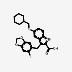 O=C(O)c1[nH]c2ccc(OCC3CCCCC3)cc2c1Cc1cc2c(cc1Cl)OCO2